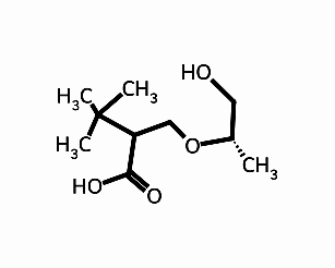 C[C@@H](CO)OCC(C(=O)O)C(C)(C)C